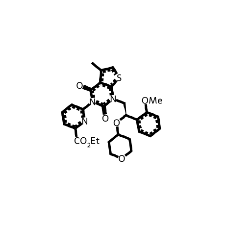 CCOC(=O)c1cccc(-n2c(=O)c3c(C)csc3n(C[C@H](OC3CCOCC3)c3ccccc3OC)c2=O)n1